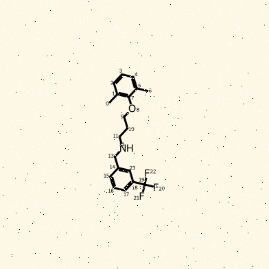 Cc1cccc(C)c1OCCCNCc1cccc(C(F)(F)F)c1